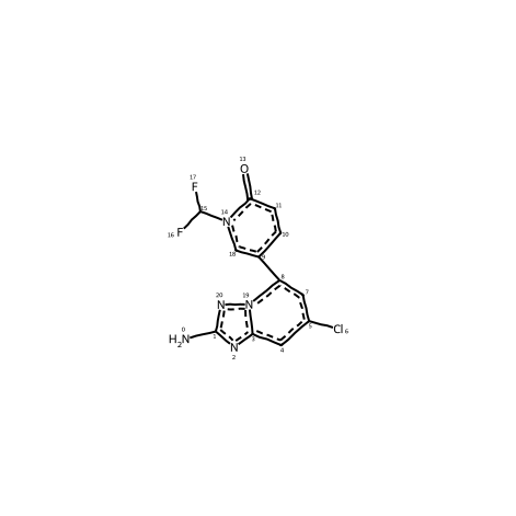 Nc1nc2cc(Cl)cc(-c3ccc(=O)n(C(F)F)c3)n2n1